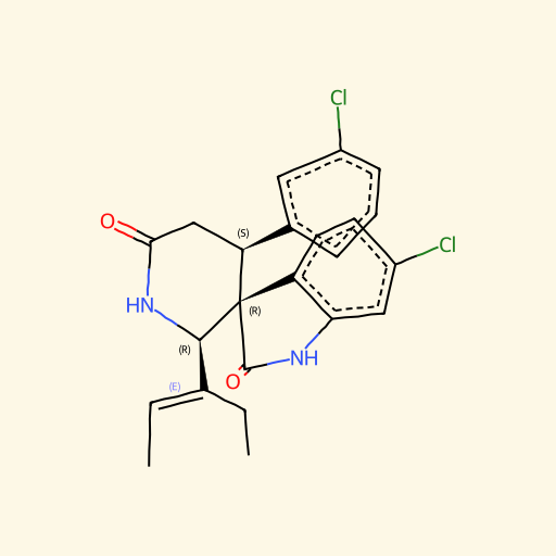 C/C=C(\CC)[C@H]1NC(=O)C[C@@H](c2cccc(Cl)c2)[C@]12C(=O)Nc1cc(Cl)ccc12